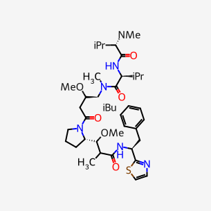 CC[C@H](C)[C@@H](C(CC(=O)N1CCC[C@H]1C(OC)C(C)C(=O)N[C@@H](Cc1ccccc1)c1nccs1)OC)N(C)C(=O)[C@@H](NC(=O)[C@@H](NC)C(C)C)C(C)C